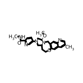 CNC(=O)c1ccc(N2CC3CCOc4cc5cc(C)cnc5cc4CN3[C@@H](OC)C2)cn1